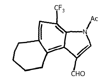 CC(=O)n1cc(C=O)c2c3c(cc(C(F)(F)F)c21)CCCC3